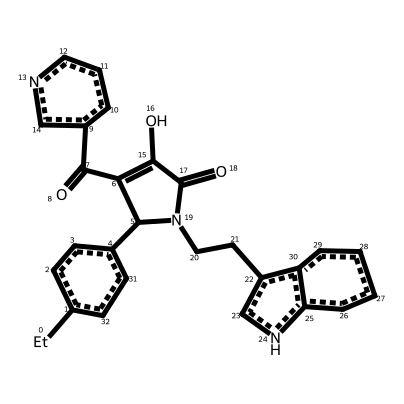 CCc1ccc(C2C(C(=O)c3cccnc3)=C(O)C(=O)N2CCc2c[nH]c3ccccc23)cc1